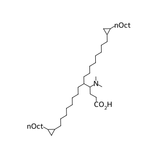 CCCCCCCCC1CC1CCCCCCCCC(CCCCCCCCC1CC1CCCCCCCC)C(CCC(=O)O)N(C)C